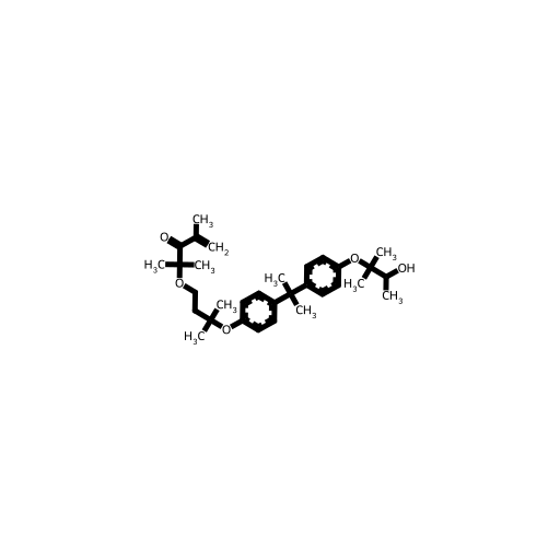 C=C(C)C(=O)C(C)(C)OCCC(C)(C)Oc1ccc(C(C)(C)c2ccc(OC(C)(C)C(C)O)cc2)cc1